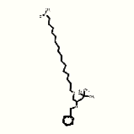 C[S+]([O-])CCCCCCCCCCCCCCCCOCC(CC(C)(C)C)OCc1ccccc1